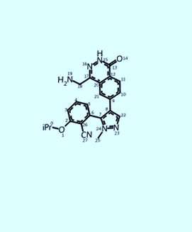 CC(C)Oc1cccc(-c2c(-c3ccc4c(=O)[nH]nc(CN)c4c3)cnn2C)c1C#N